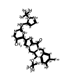 [2H]C([2H])([2H])OCC1Cn2cc(-c3nc(Nc4ccnn4C([2H])([2H])[2H])ncc3C)nc2C(=O)N1Cc1ccc(F)c(F)c1